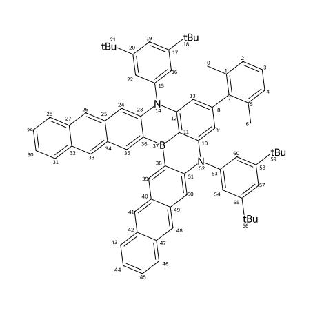 Cc1cccc(C)c1-c1cc2c3c(c1)N(c1cc(C(C)(C)C)cc(C(C)(C)C)c1)c1cc4cc5ccccc5cc4cc1B3c1cc3cc4ccccc4cc3cc1N2c1cc(C(C)(C)C)cc(C(C)(C)C)c1